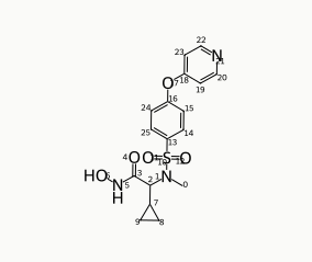 CN(C(C(=O)NO)C1CC1)S(=O)(=O)c1ccc(Oc2ccncc2)cc1